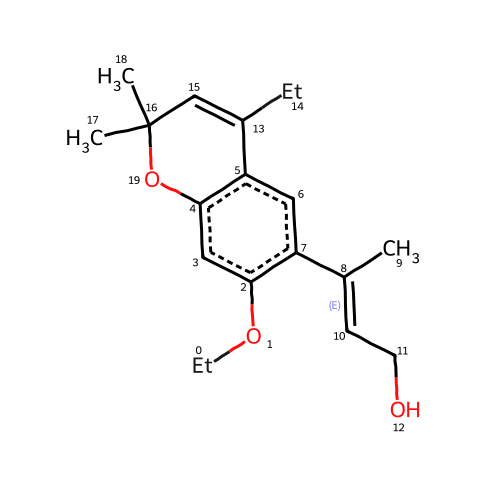 CCOc1cc2c(cc1/C(C)=C/CO)C(CC)=CC(C)(C)O2